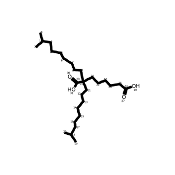 CC(C)CCCCCCCC(CCCCCCCC(C)C)(CCCCCC(=O)O)C(=O)O